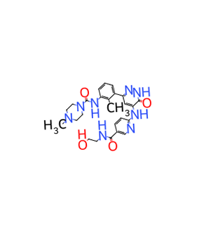 Cc1c(NC(=O)N2CCN(C)CC2)cccc1-c1cc(Nc2ccc(C(=O)NCCO)cn2)c(=O)[nH]n1